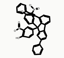 O=[N+]([O-])c1cc(C2(c3ccc(O)c([N+](=O)[O-])c3)c3cc(-c4ccccc4)ccc3-c3cccc(C#Cc4ccccc4)c32)ccc1O